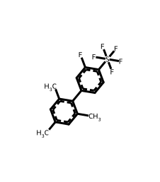 Cc1cc(C)c(-c2ccc(S(F)(F)(F)(F)F)c(F)c2)c(C)c1